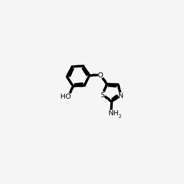 Nc1ncc(Oc2cccc(O)c2)s1